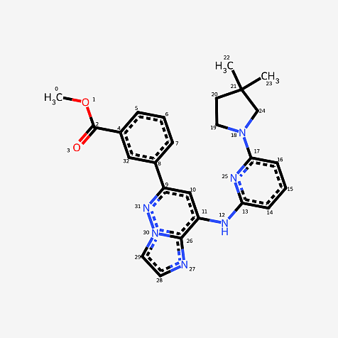 COC(=O)c1cccc(-c2cc(Nc3cccc(N4CCC(C)(C)C4)n3)c3nccn3n2)c1